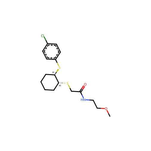 COCCNC(=O)CS[C@@H]1CCCC[C@H]1Sc1ccc(Cl)cc1